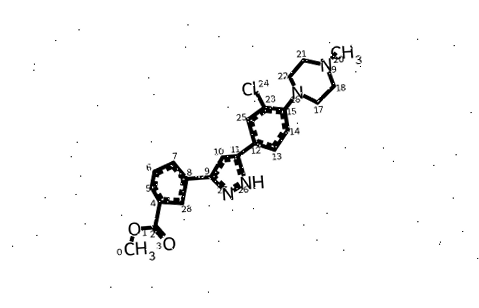 COC(=O)c1cccc(-c2cc(-c3ccc(N4CCN(C)CC4)c(Cl)c3)[nH]n2)c1